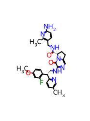 COc1ccc([C@H](CNc2ncc3n(c2=O)[C@H](C(=O)NCc2ccc(N)nc2C)CC3)c2ccc(C)cn2)c(F)c1